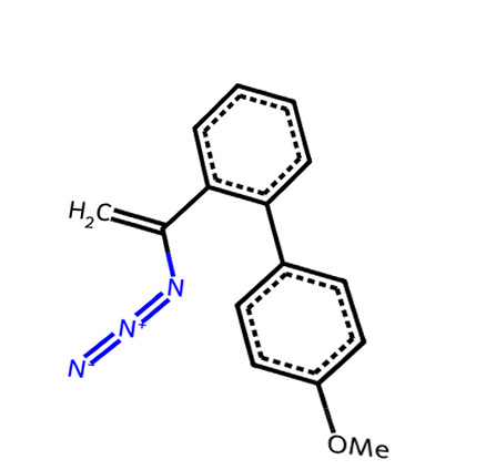 C=C(N=[N+]=[N-])c1ccccc1-c1ccc(OC)cc1